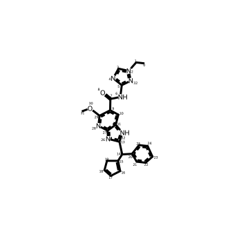 CCn1cnc(NC(=O)c2cc3[nH]c(C(C4=CC=CC4)c4ccccc4)nc3nc2OC)n1